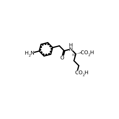 Nc1ccc(CC(=O)N[C@@H](CCC(=O)O)C(=O)O)cc1